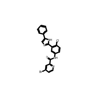 O=C(Nc1ccc(Cl)c(-c2ncc(-c3ccccc3)[nH]2)c1)c1cc(Br)ccn1